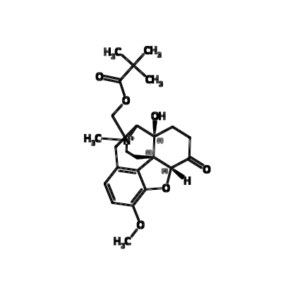 COc1ccc2c3c1O[C@H]1C(=O)CC[C@@]4(O)C(C2)[N+](C)(COC(=O)C(C)(C)C)CC[C@]314